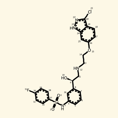 O=S(=O)(Nc1cccc([C@@H](O)CNCCOc2ccc3c(Cl)n[nH]c3c2)c1)c1ccc(F)cc1